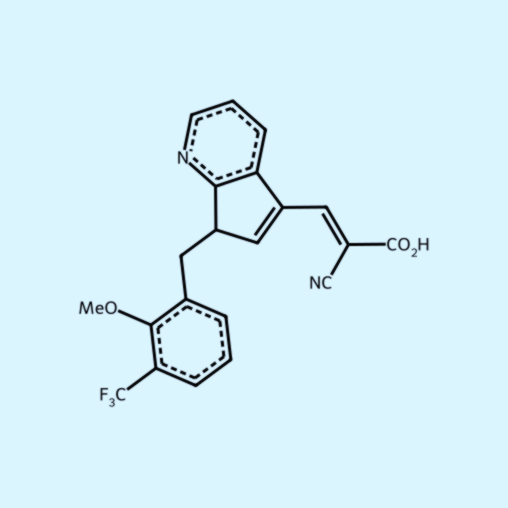 COc1c(CC2C=C(/C=C(\C#N)C(=O)O)c3cccnc32)cccc1C(F)(F)F